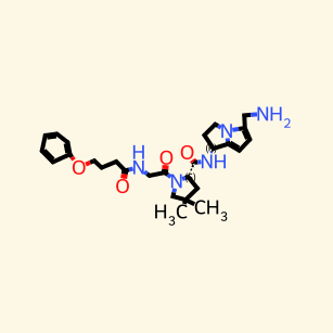 CC1(C)C[C@@H](C(=O)N[C@@H]2CCn3c(CN)ccc32)N(C(=O)CNC(=O)CCCOc2ccccc2)C1